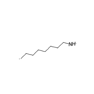 [CH2]CCCCCCC[NH]